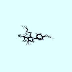 CCCCc1c(C(C)(C)C)c(O)nn1-c1ccc(OC)cc1